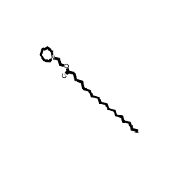 CCCCCCCCCCCCCCCCCC(=O)OCCN1CCCCCC1